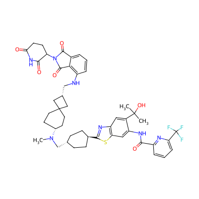 CN(C[C@H]1CC[C@H](c2nc3cc(C(C)(C)O)c(NC(=O)c4cccc(C(F)(F)F)n4)cc3s2)CC1)[C@H]1CCC2(CC1)C[C@@H](CNc1cccc3c1C(=O)N(C1CCC(=O)NC1=O)C3=O)C2